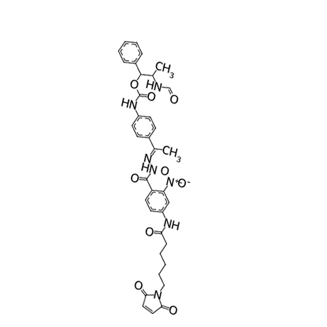 C/C(=N\NC(=O)c1ccc(NC(=O)CCCCCN2C(=O)C=CC2=O)cc1[N+](=O)[O-])c1ccc(NC(=O)OC(c2ccccc2)C(C)NC=O)cc1